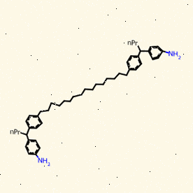 CCCC(c1ccc(N)cc1)c1ccc(CCCCCCCCCCCCCCCCc2ccc(C(CCC)c3ccc(N)cc3)cc2)cc1